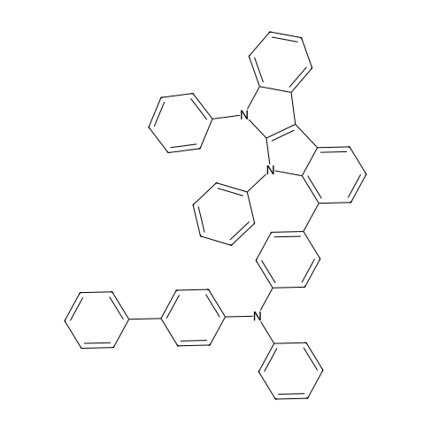 c1ccc(-c2ccc(N(c3ccccc3)c3ccc(-c4cccc5c6c7ccccc7n(-c7ccccc7)c6n(-c6ccccc6)c45)cc3)cc2)cc1